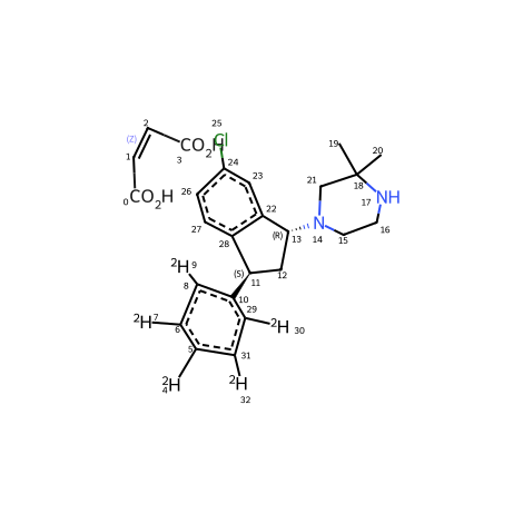 O=C(O)/C=C\C(=O)O.[2H]c1c([2H])c([2H])c([C@@H]2C[C@@H](N3CCNC(C)(C)C3)c3cc(Cl)ccc32)c([2H])c1[2H]